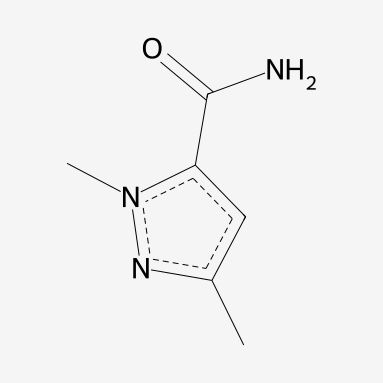 Cc1cc(C(N)=O)n(C)n1